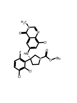 Cn1cnc2c(Cl)cc(N[C@@]3(c4c(F)ccc(Cl)c4Cl)CCN(C(=O)OC(C)(C)C)C3)cc2c1=O